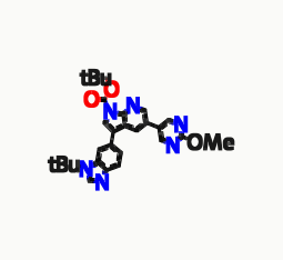 COc1ncc(-c2cnc3c(c2)c(-c2ccc4ncn(C(C)(C)C)c4c2)cn3C(=O)OC(C)(C)C)cn1